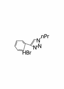 Br.CCCn1cc(-c2ccccc2)nn1